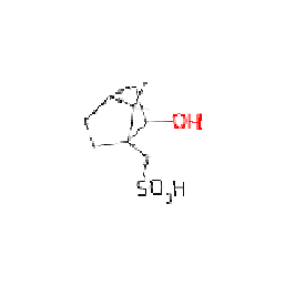 CC1(C)C2CCC1(CS(=O)(=O)O)C(O)C2